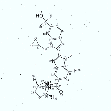 Cn1c(-c2cc3ccc(C(C)(C)O)nc3n2CC2CC2)nc2cc(C(=O)N3C[C@H]4CC[C@@H]3[C@@H]4N)cc(F)c21